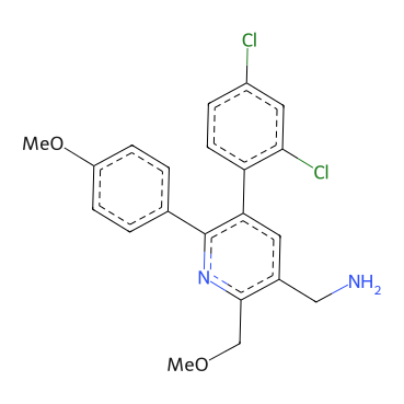 COCc1nc(-c2ccc(OC)cc2)c(-c2ccc(Cl)cc2Cl)cc1CN